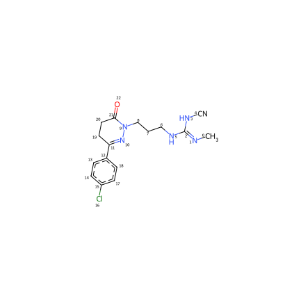 C/N=C(\NC#N)NCCCN1N=C(c2ccc(Cl)cc2)CCC1=O